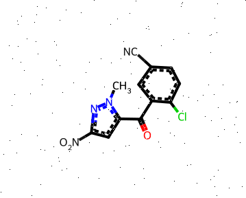 Cn1nc([N+](=O)[O-])cc1C(=O)c1cc(C#N)ccc1Cl